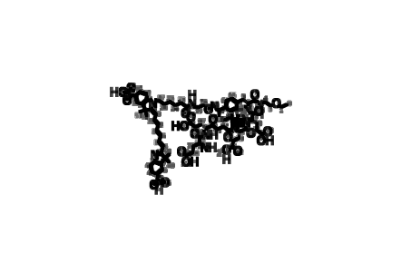 CCOCCNC(=O)[C@H](Cc1ccc(/C(C)=N/OCCNC(=O)CCCCCN2/C(=C/C=C/C=C/C=C/C3=Nc4ccc([SH](=O)=O)cc4C3(C)C)C(C)(C)c3cc(S(=O)(=O)O)ccc32)cc1)NC(=O)[C@@H](CCC(=O)O)NC(=O)[C@@H](CCC(=O)O)NC(=O)[C@@H](CCC(=O)O)CC(=O)[C@@H](CCC(=O)O)NC(=O)[C@H](N)CCC(=O)O